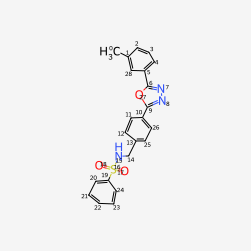 Cc1cccc(-c2nnc(-c3ccc(CNS(=O)(=O)c4ccccc4)cc3)o2)c1